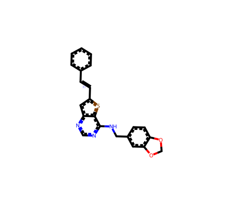 C(=C\c1cc2ncnc(NCc3ccc4c(c3)OCO4)c2s1)/c1ccccc1